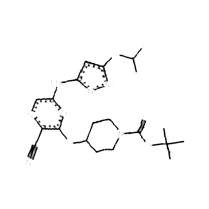 CC(C)(C)OC(=O)N1CCC(Oc2nc(Nc3cc(OC(F)F)[nH]n3)cnc2C#N)CC1